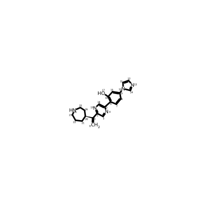 C=C(c1cnc(-c2ccc(-n3ccnc3)cc2O)cn1)[C@H]1CCCNCC1